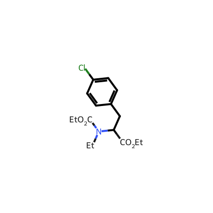 CCOC(=O)C(Cc1ccc(Cl)cc1)N(CC)C(=O)OCC